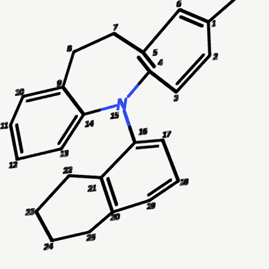 Cc1ccc2c(c1)CCc1ccccc1N2c1cccc2c1CCCC2